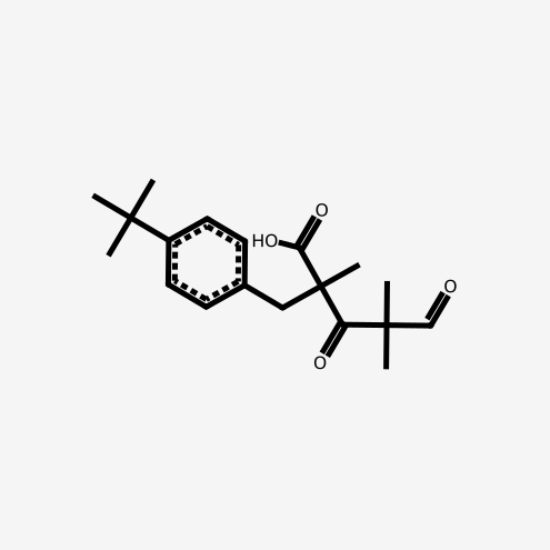 CC(C)(C=O)C(=O)C(C)(Cc1ccc(C(C)(C)C)cc1)C(=O)O